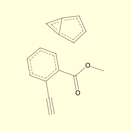 C#Cc1ccccc1C(=O)OC.c1cc2cc-2c1